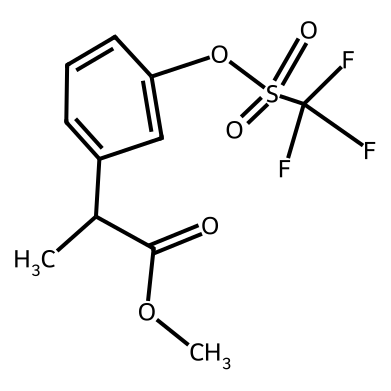 COC(=O)C(C)c1cccc(OS(=O)(=O)C(F)(F)F)c1